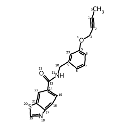 CC#CCOc1cccc(CNC(=O)c2ccc3ncsc3c2)c1